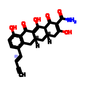 C#C/C=C/c1ccc(O)c2c1C[C@H]1C[C@H]3CC(O)=C(C(N)=O)C(=O)C3C(O)=C1C2=O